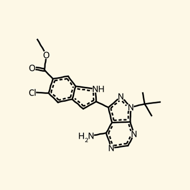 COC(=O)c1cc2[nH]c(-c3nn(C(C)(C)C)c4ncnc(N)c34)cc2cc1Cl